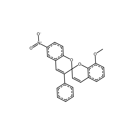 COc1cccc2c1OC1(C=C2)Oc2ccc([N+](=O)[O-])cc2C=C1c1ccccc1